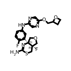 NC1=N[C@@]2(c3cc(Nc4cnc(OCC5CCO5)cn4)ccc3F)COC[C@@]2(F)CS1